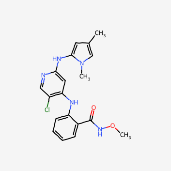 CONC(=O)c1ccccc1Nc1cc(Nc2cc(C)cn2C)ncc1Cl